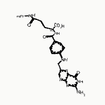 CCCNC(=O)CC[C@H](NC(=O)c1ccc(NCc2cnc3nc(N)[nH]c(=O)c3n2)cc1)C(=O)O